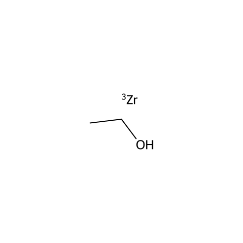 CCO.[3Zr]